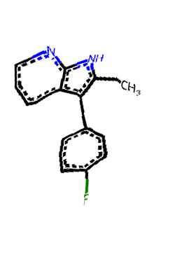 Cc1[nH]c2ncccc2c1-c1ccc(F)cc1